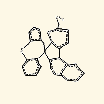 Bc1ccc2c(c1)C1(c3ccccc3Sc3ccccc31)c1ccc3ccccc3c1-2